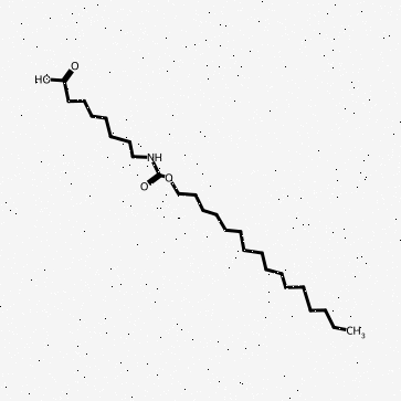 CCCCCCCCCCCCCCCCOC(=O)NCCCCCCCC(=O)O